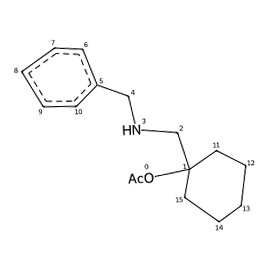 CC(=O)OC1(CNCc2ccccc2)CCCCC1